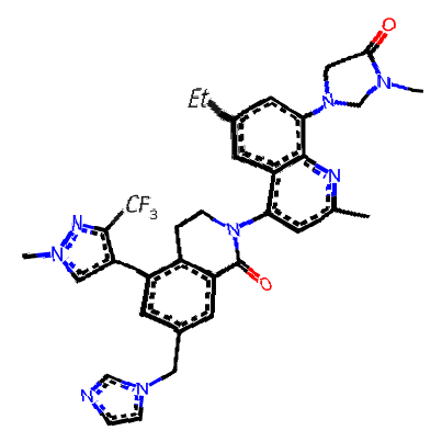 CCc1cc(N2CC(=O)N(C)C2)c2nc(C)cc(N3CCc4c(cc(Cn5ccnc5)cc4-c4cn(C)nc4C(F)(F)F)C3=O)c2c1